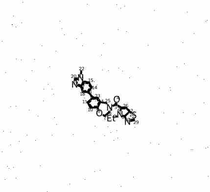 CCN1C(C(=O)N2CCOc3ccc(-c4ccc5c(c4)ncn5C)cc3C2)=CC2SC=NC21